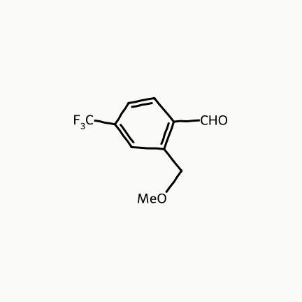 COCc1cc(C(F)(F)F)ccc1C=O